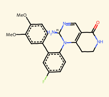 COc1ccc(-c2cc(F)ccc2N2C3=C(C=N[C@@H]2N)C(=O)NCC3)cc1OC